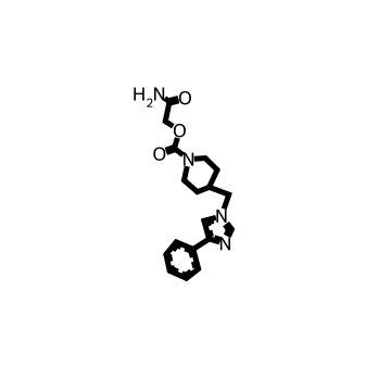 NC(=O)COC(=O)N1CCC(Cn2cnc(-c3ccccc3)c2)CC1